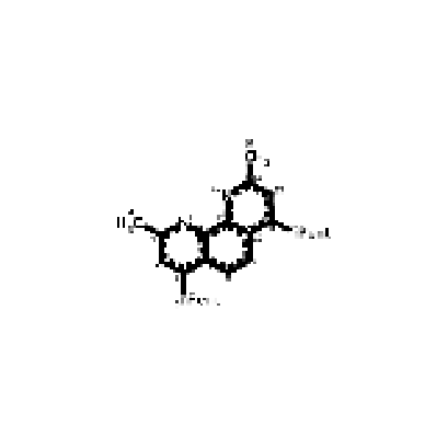 CCCCCc1cc(C)nc2c1ccc1c(CCCCC)cc(C)nc12